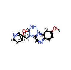 COc1ccc2ncc(N3CC4(CN5CCC4CC5)OC3N)nc2c1